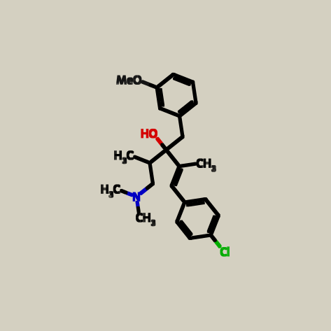 COc1cccc(CC(O)(/C(C)=C/c2ccc(Cl)cc2)C(C)CN(C)C)c1